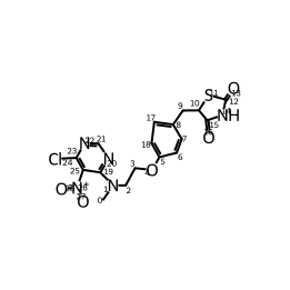 CN(CCOc1ccc(CC2SC(=O)NC2=O)cc1)c1ncnc(Cl)c1[N+](=O)[O-]